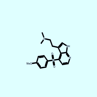 COc1ccc(S(=O)(=O)c2ccnc3[nH]cc(CCN(C)C)c23)cc1